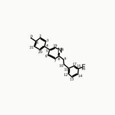 Cc1ccc(-c2ccc(CCc3cccc(F)c3)nc2)cc1